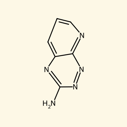 Nc1nnc2ncccc2n1